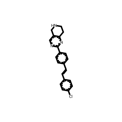 Clc1ccc(C=Cc2ccc(-c3ncc4c(n3)CCNC4)cc2)cc1